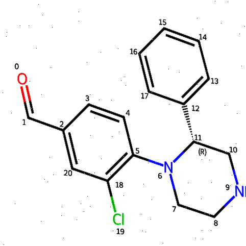 O=Cc1ccc(N2CCNC[C@H]2c2ccccc2)c(Cl)c1